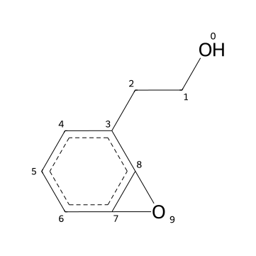 OCCc1cccc2c1O2